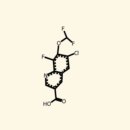 O=C(O)c1cnc2c(F)c(OC(F)F)c(Cl)cc2c1